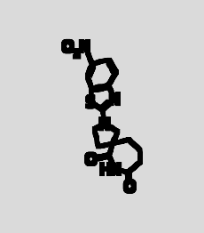 O=C1CCCC2(CCN(c3nc4ccc([N+](=O)[O-])cc4s3)C2)C(=O)N1